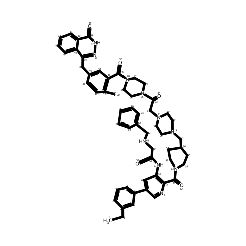 CCc1cccc(-c2cnc(C(=O)N3CCC(CN4CCN(CC(=O)N5CCN(C(=O)c6cc(Cc7n[nH]c(=O)c8ccccc78)ccc6F)CC5)CC4)CC3)c(NC(=O)CNCc3ccccc3)c2)c1